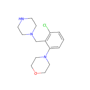 Clc1cccc(N2CCOCC2)c1CN1CCNCC1